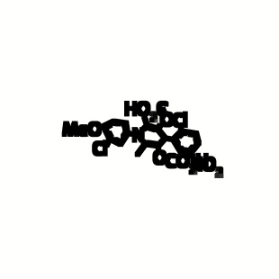 COc1ccc(N2C(C)=C(OC(=O)O)C(c3cc([N+](=O)[O-])ccc3Cl)C(OC(=O)O)=C2C)cc1Cl